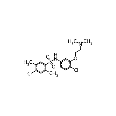 Cc1cc(S(=O)(=O)Nc2ccc(Cl)c(OCCN(C)C)c2)c(C)cc1Cl